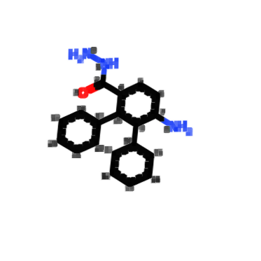 NNC(=O)c1ccc(N)c(-c2ccccc2)c1-c1ccccc1